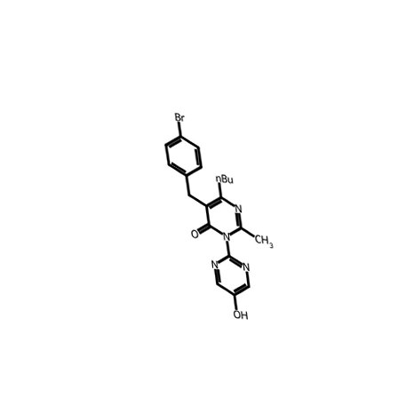 CCCCc1nc(C)n(-c2ncc(O)cn2)c(=O)c1Cc1ccc(Br)cc1